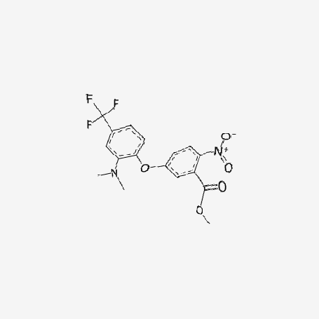 COC(=O)c1cc(Oc2ccc(C(F)(F)F)cc2N(C)C)ccc1[N+](=O)[O-]